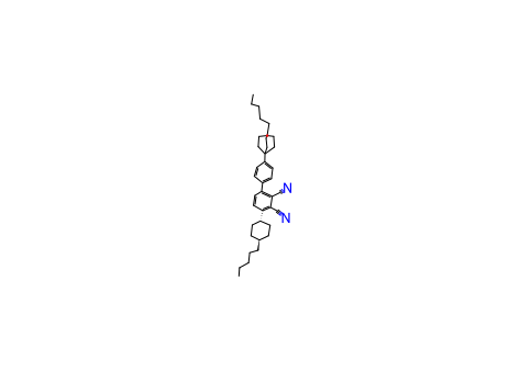 CCCCCC12CCC(c3ccc(-c4ccc([C@H]5CC[C@H](CCCCC)CC5)c(C#N)c4C#N)cc3)(CC1)CC2